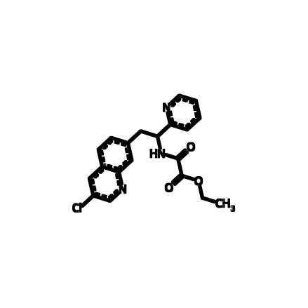 CCOC(=O)C(=O)NC(Cc1ccc2cc(Cl)cnc2c1)c1ccccn1